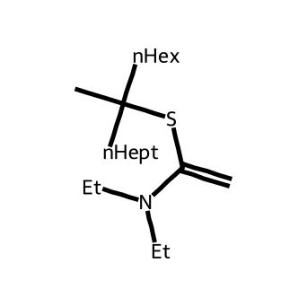 C=C(SC(C)(CCCCCC)CCCCCCC)N(CC)CC